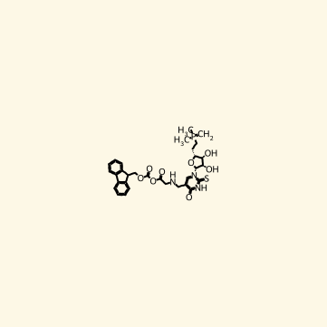 C=P(C)(C)CC[C@H]1O[C@@H](n2cc(CNCC(=O)OC(=O)OCC3c4ccccc4-c4ccccc43)c(=O)[nH]c2=S)[C@H](O)[C@@H]1O